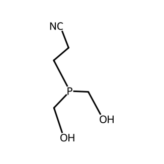 N#CCCP(CO)CO